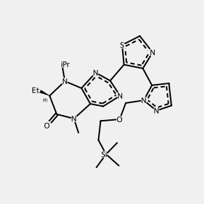 CC[C@@H]1C(=O)N(C)c2cnc(-c3scnc3-c3ccnn3COCC[Si](C)(C)C)nc2N1C(C)C